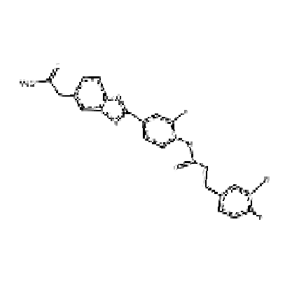 COC(=O)Cc1ccc2oc(-c3ccc(NC(=O)C=Cc4ccc(F)c(Cl)c4)c(F)c3)nc2c1